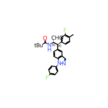 Cc1ccc([C@@H](c2ccc3c(cnn3-c3ccc(F)cc3)c2)[C@@H](C=O)NC(=O)C(C)(C)C)cc1F